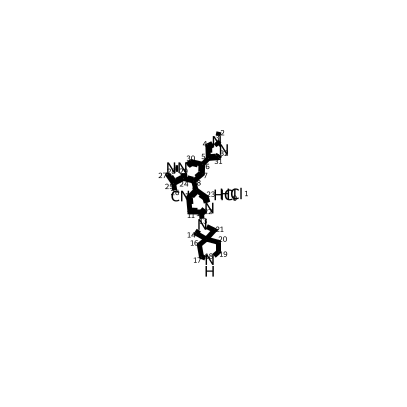 Cl.Cl.Cn1cc(-c2cc(-c3ccc(N4CC5(CCNCC5)C4)nc3)c3c(C#N)cnn3c2)cn1